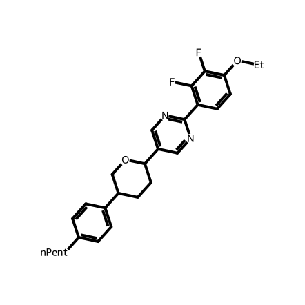 CCCCCc1ccc(C2CCC(c3cnc(-c4ccc(OCC)c(F)c4F)nc3)OC2)cc1